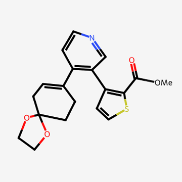 COC(=O)c1sccc1-c1cnccc1C1=CCC2(CC1)OCCO2